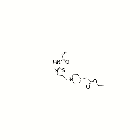 C=CC(=O)Nc1ncc(CN2CCC(CC(=O)OCC)CC2)s1